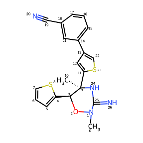 CN1O[C@@H](c2cccs2)[C@@](C)(c2cc(-c3cccc(C#N)c3)cs2)NC1=N